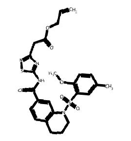 C=CCOC(=O)Cc1nsc(NC(=O)c2ccc3c(c2)N(S(=O)(=O)c2cc(C)ccc2OC)CCC3)n1